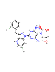 Nc1nc(-n2nc(Cc3ccccc3F)c3ncc(F)cc32)nc(N)c1N(C(=O)O)C1COC1